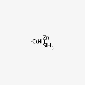 [Cu].[Ni].[SiH3][Zn]